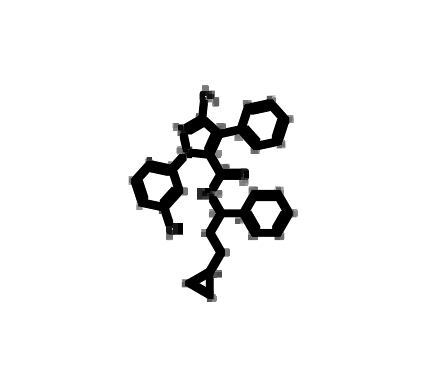 N#Cc1cccc(-n2nc(C(F)(F)F)c(-c3ccccc3)c2C(=O)NC(CCC2CC2)c2ccccc2)c1